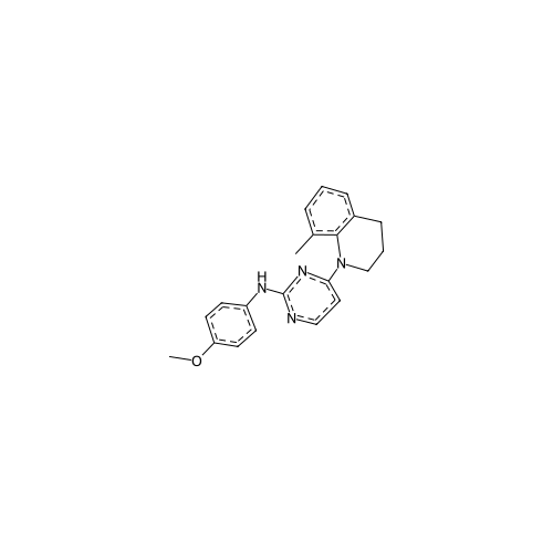 COc1ccc(Nc2nccc(N3CCCc4cccc(C)c43)n2)cc1